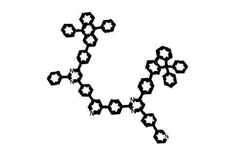 c1ccc(-c2nc(-c3ccc(-c4cncc(-c5ccc(-c6nc(-c7ccc(-c8cccnc8)cc7)cc(-c7ccc(-c8ccc9c(c8)C(c8ccccc8)(c8ccccc8)c8ccccc8-9)cc7)n6)cc5)c4)cc3)cc(-c3ccc(-c4ccc5c(-c6ccccc6)c6ccccc6c(-c6ccccc6)c5c4)cc3)n2)cc1